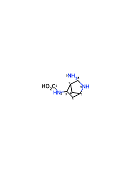 N.O=C(O)NC1CC2CC1CN2